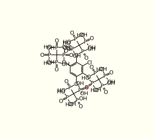 O=P(O)(O)C(P(=O)(O)O)(P(=O)(O)O)P(=O)(O)Oc1cc(OP(=O)(O)C(P(=O)(O)O)(P(=O)(O)O)P(=O)(O)O)c(OP(=O)(O)C(P(=O)(O)O)(P(=O)(O)O)P(=O)(O)O)c(Cl)c1OP(=O)(O)C(P(=O)(O)O)(P(=O)(O)O)P(=O)(O)O